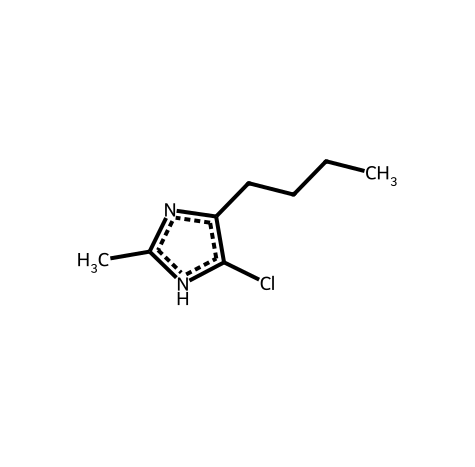 CCCCc1nc(C)[nH]c1Cl